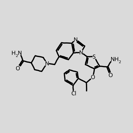 CC(Oc1cc(-n2cnc3ccc(CN4CCC(C(N)=O)CC4)cc32)sc1C(N)=O)c1ccccc1Cl